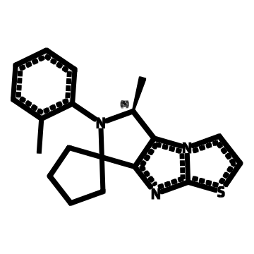 Cc1ccccc1N1[C@@H](C)c2c(nc3sccn23)C12CCCC2